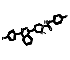 C[C@@H]1CN(c2nnc(-c3ccc(F)cc3)c3ccccc23)CCN1C(=O)Nc1ccc(F)cc1